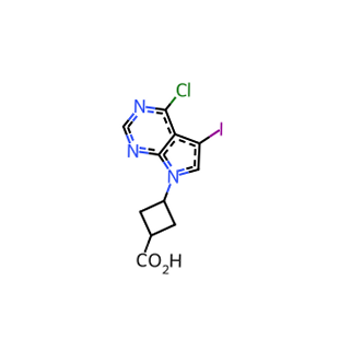 O=C(O)C1CC(n2cc(I)c3c(Cl)ncnc32)C1